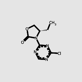 CC[C@H]1COC(=O)N1c1ncnc(Cl)n1